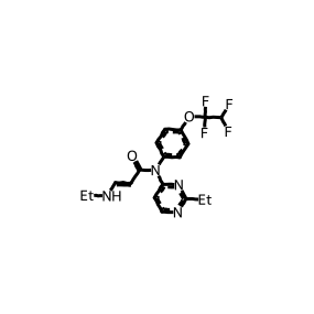 CCNC=CC(=O)N(c1ccc(OC(F)(F)C(F)F)cc1)c1ccnc(CC)n1